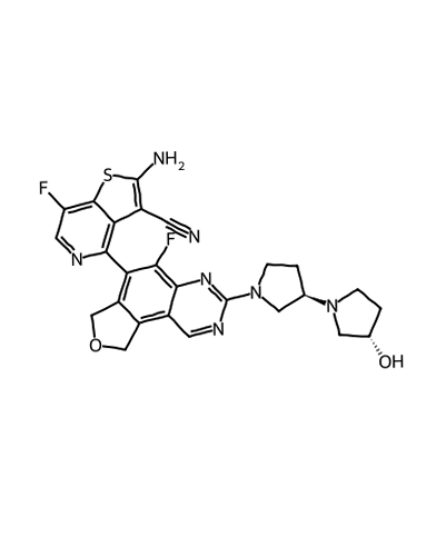 N#Cc1c(N)sc2c(F)cnc(-c3c4c(c5cnc(N6CC[C@@H](N7CC[C@H](O)C7)C6)nc5c3F)COC4)c12